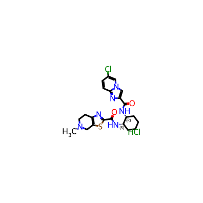 CN1CCc2nc(C(=O)N[C@H]3CCCC[C@H]3NC(=O)c3cn4cc(Cl)ccc4n3)sc2C1.Cl